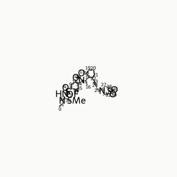 C=C/N=C(/NS(=O)(=O)c1cc2oc(=O)n([C@H](C)c3ccccc3C#CCN3CCS(=O)(=O)CC3)c2cc1F)SC